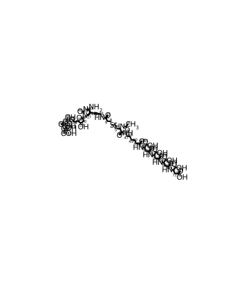 CC(=O)NC(CSSCCC(=O)NCC#Cc1cn(C2CC(O)C(COP(=O)(O)OP(=O)(O)OP(=O)(O)O)O2)c(=O)nc1N)C(=O)NCCCCCC(=O)NC(CC(=O)NC(CC(=O)NC(CC(=O)NC(CC(=O)O)C(=O)O)C(=O)O)C(=O)O)C(=O)O